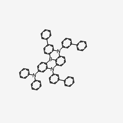 c1ccc(-c2cccc(N3c4cc(-c5ccccc5)ccc4B4c5ccc(N(c6ccccc6)c6ccccc6)cc5N(c5cccc(-c6ccccc6)c5)c5cccc3c54)c2)cc1